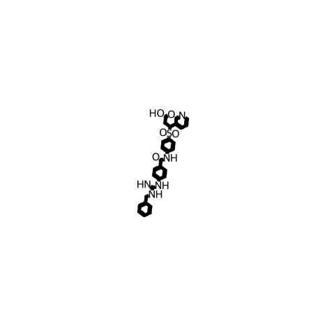 N=C(NCc1ccccc1)Nc1ccc(C(=O)Nc2ccc(S(=O)(=O)C(CC(=O)O)c3cccnc3)cc2)cc1